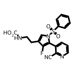 N#Cc1ncccc1-c1c(F)c(CCNC(=O)O)cn1S(=O)(=O)c1ccccc1